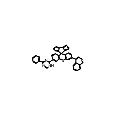 C1=NC(c2ccccc2)=NC(c2ccc3c(c2)Sc2cc(-c4cncc5ccccc45)ccc2C32c3ccccc3-c3ccccc32)N1